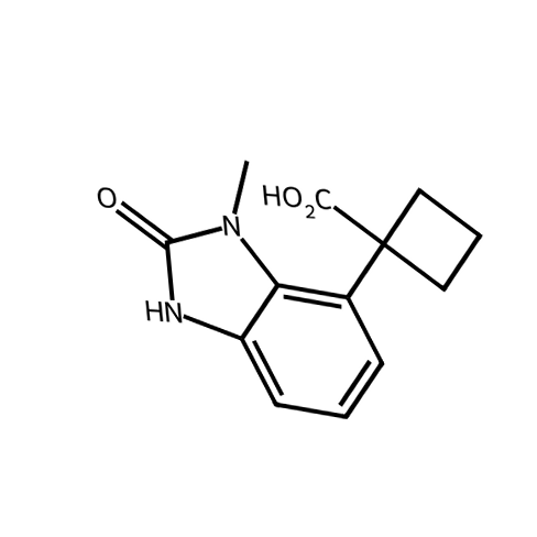 Cn1c(=O)[nH]c2cccc(C3(C(=O)O)CCC3)c21